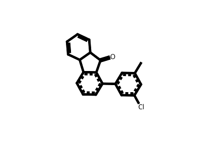 Cc1cc(Cl)cc(-c2cccc3c2C(=O)C2C=CC=CC32)c1